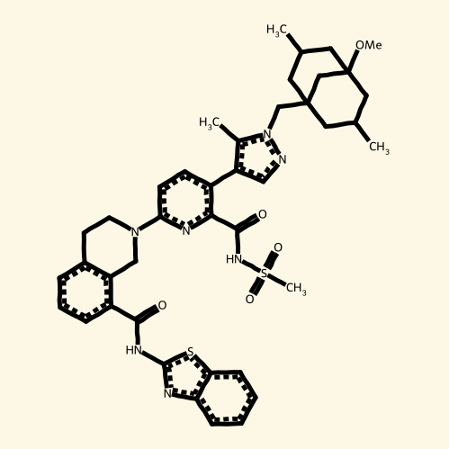 COC12CC(C)CC(Cn3ncc(-c4ccc(N5CCc6cccc(C(=O)Nc7nc8ccccc8s7)c6C5)nc4C(=O)NS(C)(=O)=O)c3C)(CC(C)C1)C2